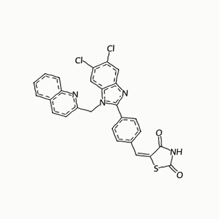 O=C1NC(=O)C(=Cc2ccc(-c3nc4cc(Cl)c(Cl)cc4n3Cc3ccc4ccccc4n3)cc2)S1